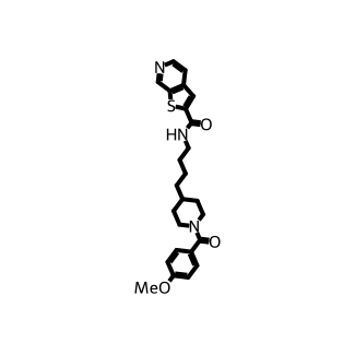 COc1ccc(C(=O)N2CCC(CCCCNC(=O)c3cc4ccncc4s3)CC2)cc1